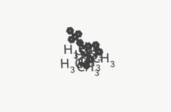 C/C=C\C(=C/Cc1cc(-c2cccc3c2oc2c(C(C)C)cccc23)ccc1N(C)c1ccc(-c2c3ccccc3c(-c3ccccc3)c3ccccc23)cc1)c1cccc2c1OC1C(C(C)(C)C)=CC=CC21